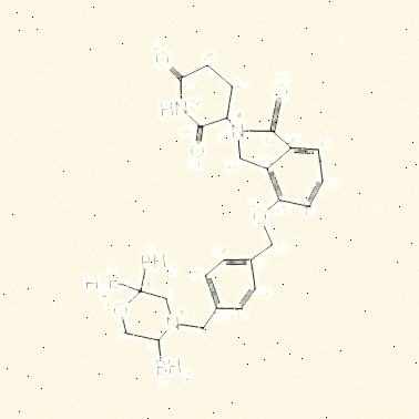 BC1COC(B)(B)CN1Cc1ccc(COc2cccc3c2CN(C2CCC(=O)NC2=O)C3=O)cc1